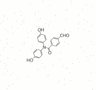 O=Cc1ccc(C(=O)N(c2ccc(O)cc2)c2ccc(O)cc2)cc1